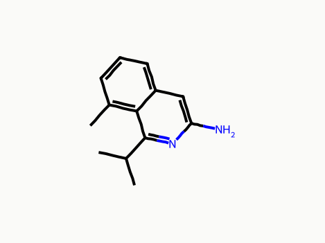 Cc1cccc2cc(N)nc(C(C)C)c12